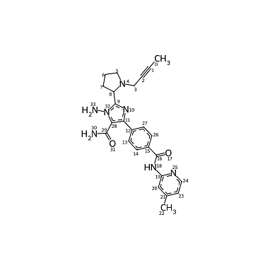 CC#CCN1CCCC1c1nc(-c2ccc(C(=O)Nc3cc(C)ccn3)cc2)c(C(N)=O)n1N